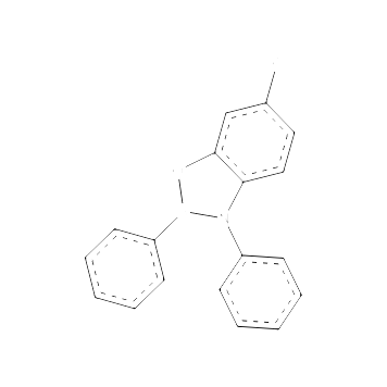 Cc1ccc2c(c1)OB(c1ccccc1)N2c1ccccc1